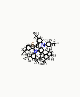 CC(C)(C)c1ccc(N2c3ccc(C(C)(C)C)cc3B3c4sc5ccc(C(C)(C)C)cc5c4N(c4cc(C(C)(C)C)cc(C(C)(C)C)c4)c4cc(-c5c6c(cc7c5C(C)(C)CC7(C)C)C(C)(C)CC6(C)C)cc2c43)cc1